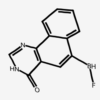 O=c1[nH]cnc2c1cc(BF)c1ccccc12